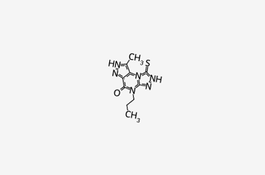 CCCn1c(=O)c2n[nH]c(C)c2n2c(=S)[nH]nc12